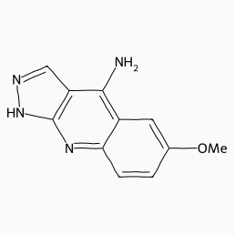 COc1ccc2nc3[nH]ncc3c(N)c2c1